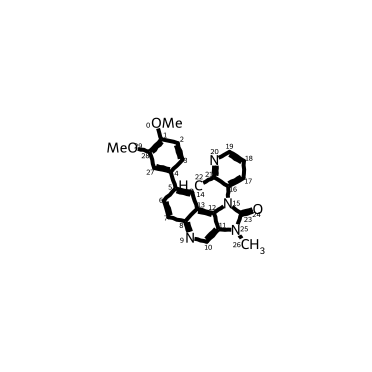 COc1ccc(-c2ccc3ncc4c(c3c2)n(-c2cccnc2C)c(=O)n4C)cc1OC